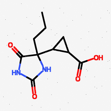 CCCC1(C2CC2C(=O)O)NC(=O)NC1=O